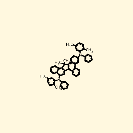 Cc1ccc(C)c(N(c2ccccc2)c2ccc3c4c(c5ccccc5c3c2)-c2cc(N(c3ccccc3)c3cc(C)ccc3C)c3ccccc3c2C4(C)C)c1